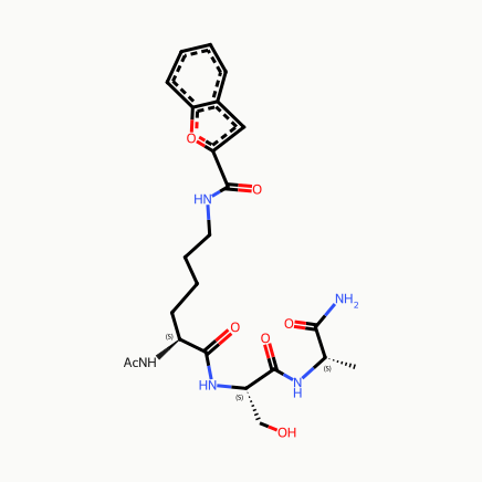 CC(=O)N[C@@H](CCCCNC(=O)c1cc2ccccc2o1)C(=O)N[C@@H](CO)C(=O)N[C@@H](C)C(N)=O